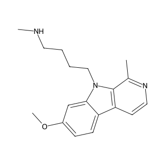 CNCCCCn1c2cc(OC)ccc2c2ccnc(C)c21